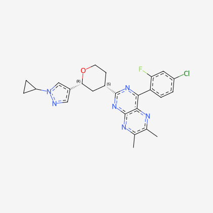 Cc1nc2nc([C@H]3CCO[C@@H](c4cnn(C5CC5)c4)C3)nc(-c3ccc(Cl)cc3F)c2nc1C